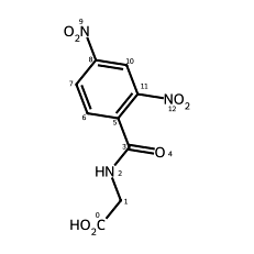 O=C(O)CNC(=O)c1ccc([N+](=O)[O-])cc1[N+](=O)[O-]